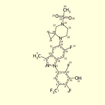 Cc1nn(-c2cc(C(F)(F)F)c(F)c(O)c2F)c2cc(F)c(N3CCN(S(C)(=O)=O)CC34CC4)cc12